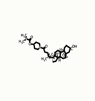 C[C@H](CCC(=O)N1CCC(OC(=O)N(C)C)CC1)[C@H]1CC[C@H]2[C@@H]3CC=C4C[C@@H](O)CC[C@]4(C)[C@H]3CC[C@]12C